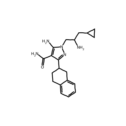 NC(=O)c1c(C2CCc3ccccc3C2)nn(CC(N)CC2CC2)c1N